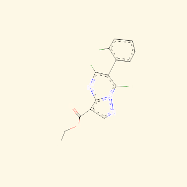 CCOC(=O)c1cnn2c(Cl)c(-c3ccccc3F)c(Cl)nc12